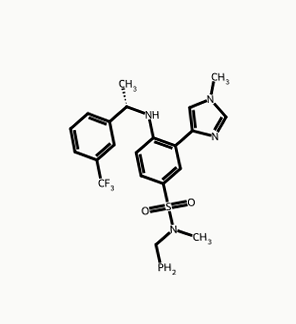 C[C@H](Nc1ccc(S(=O)(=O)N(C)CP)cc1-c1cn(C)cn1)c1cccc(C(F)(F)F)c1